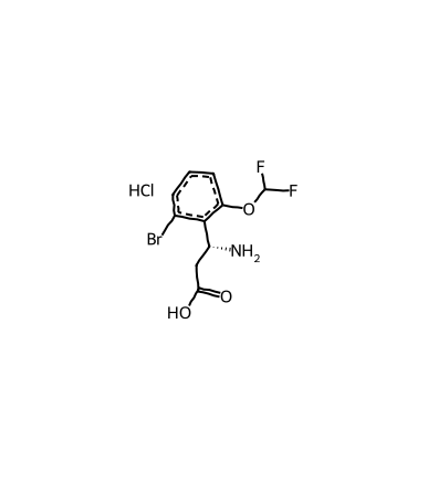 Cl.N[C@H](CC(=O)O)c1c(Br)cccc1OC(F)F